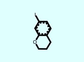 Ic1ccc2c(c1)OCCC2